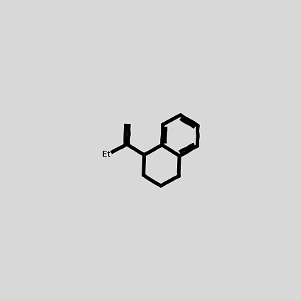 C=C(CC)C1CCCc2ccccc21